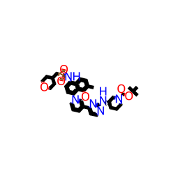 Cc1ccc2c(NS(=O)(=O)CC3CCOCC3)cccc2c1Oc1ncccc1-c1ccnc(N[C@H]2CCCN(C(=O)OC(C)(C)C)C2)n1